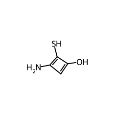 NC1=C(S)C(O)=C1